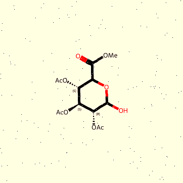 COC(=O)C1OC(O)[C@H](OC(C)=O)[C@@H](OC(C)=O)[C@@H]1OC(C)=O